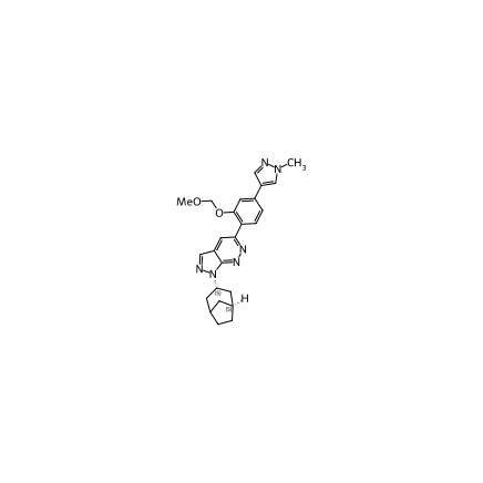 COCOc1cc(-c2cnn(C)c2)ccc1-c1cc2cnn([C@H]3CC4CC[C@@H](C4)C3)c2nn1